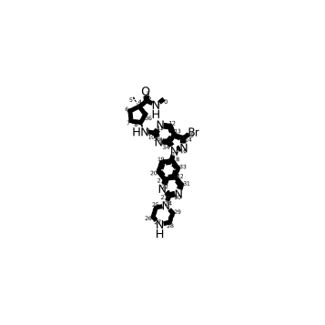 CNC(=O)[C@]1(C)CC[C@@H](Nc2ncc3c(Br)nn(-c4ccc5nc(N6CCNCC6)ncc5c4)c3n2)C1